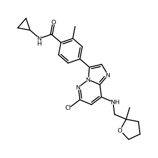 Cc1cc(-c2cnc3c(NCC4(C)CCCO4)cc(Cl)nn23)ccc1C(=O)NC1CC1